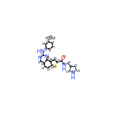 CC(C)(C)c1cccc(Nc2ncc3ccc4sc(C(=O)NCC5CCNC5)cc4c3n2)c1